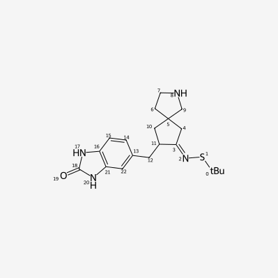 CC(C)(C)S/N=C1\CC2(CCNC2)CC1Cc1ccc2[nH]c(=O)[nH]c2c1